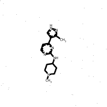 Cc1n[nH]cc1-c1ccnc(NC2CCN(C)CC2)n1